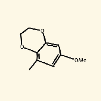 COc1[c]c(C)c2c(c1)OCCO2